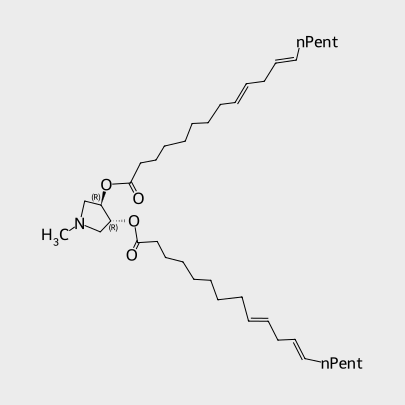 CCCCCC=CCC=CCCCCCCCC(=O)O[C@@H]1CN(C)C[C@H]1OC(=O)CCCCCCCC=CCC=CCCCCC